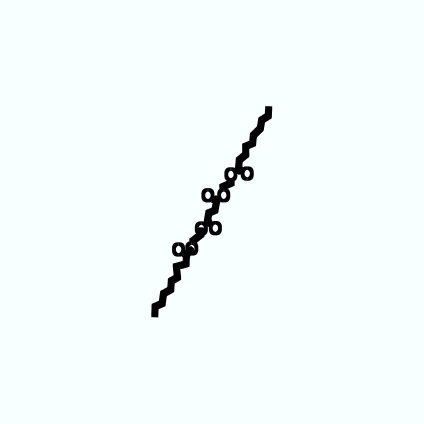 CCCCCCCCCC(=O)OCCOC(=O)CCC(=O)OCCOC(=O)CCCCCCCCC